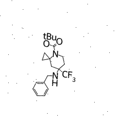 CC(C)(C)OC(=O)N1CCC(NCc2ccccc2)(C(F)(F)F)CC12CC2